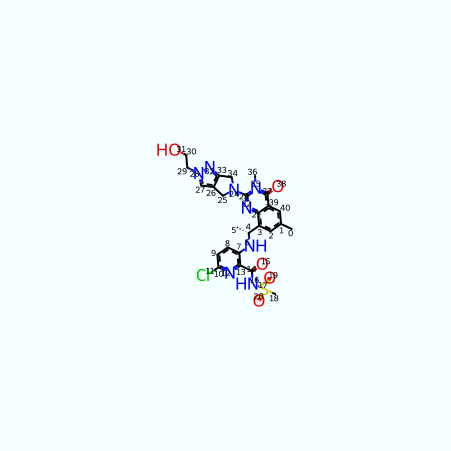 Cc1cc([C@@H](C)Nc2ccc(Cl)nc2C(=O)NS(C)(=O)=O)c2nc(N3Cc4cn(CCO)nc4C3)n(C)c(=O)c2c1